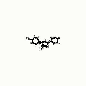 [CH2]Cc1ccc(-n2cc(-c3ccccc3)nc2CC)cc1